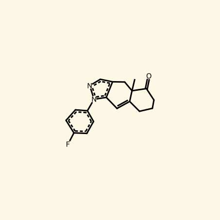 CC12Cc3cnn(-c4ccc(F)cc4)c3C=C1CCCC2=O